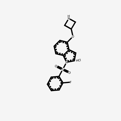 Cl.O=S(=O)(c1ccccc1F)n1ccc2c(OC3CNC3)cccc21